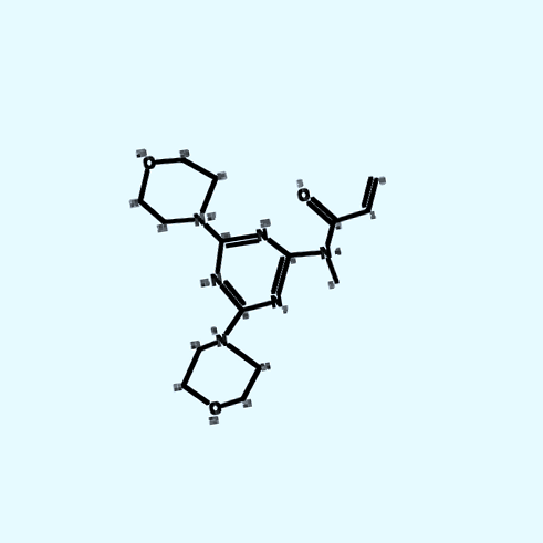 C=CC(=O)N(C)c1nc(N2CCOCC2)nc(N2CCOCC2)n1